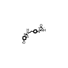 COc1ccc2nc(NCCc3ccc(/N=C4/N[C@@H](C)C(=O)S4)cc3)sc2c1